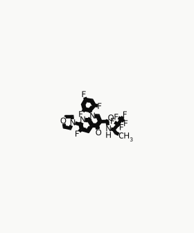 CCC(NC(=O)c1cn(-c2c(F)cc(F)cc2F)c2nc(N3CCOCC3)c(F)cc2c1=O)C(F)(F)C(F)(F)F